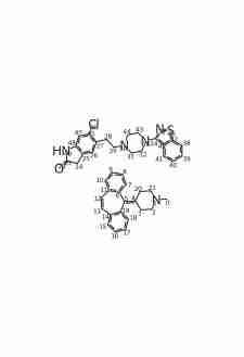 CN1CCC(=C2c3ccccc3C=Cc3ccccc32)CC1.O=C1Cc2cc(CCN3CCN(c4nsc5ccccc45)CC3)c(Cl)cc2N1